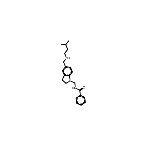 CC(C)CCNCc1ccc2c(c1)CCN2CNC(=O)c1ccccc1